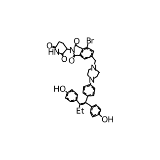 CCC(=C(c1ccc(O)cc1)c1ccc(N2CCN(Cc3cc(Br)c4c(c3)C(=O)N(C3CCC(=O)NC3=O)C4=O)CC2)cc1)c1ccc(O)cc1